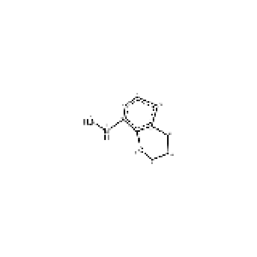 NNc1cccc2c1OCCC2